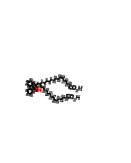 CC(C)(CC(CCCCCCCC/C=C\CCCCC(=O)O)CCCCCCCC/C=C\CCCCC(=O)O)[Si](O)(c1ccccc1)c1ccccc1